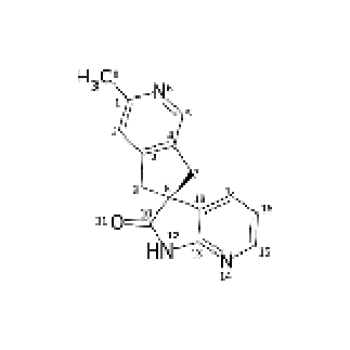 Cc1cc2c(cn1)C[C@]1(C2)C(=O)Nc2ncccc21